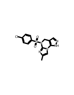 Cc1cn2c(n1)N(S(=O)(=O)c1ccc(Cl)cc1)Cc1cn[nH]c1-2